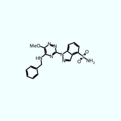 COc1nnc(-n2ncc3c(S(N)(=O)=O)cccc32)nc1NCc1ccccc1